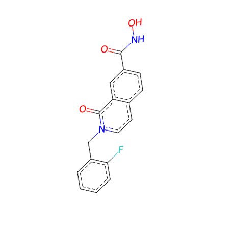 O=C(NO)c1ccc2ccn(Cc3ccccc3F)c(=O)c2c1